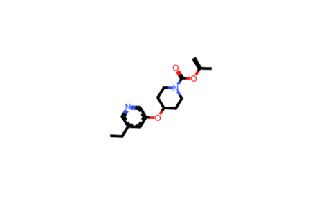 C=C(C)OC(=O)N1CCC(Oc2cncc(CC)c2)CC1